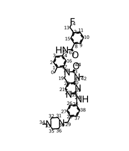 Cc1ccc(NC(=O)c2cccc(CF)c2)cc1N1Cc2cnc(Nc3ccc(CN4CCN(C)CC4)cc3)nc2N(C)C1=O